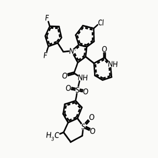 CC1CCS(=O)(=O)c2cc(S(=O)(=O)NC(=O)c3c(-c4ccc[nH]c4=O)c4cc(Cl)ccc4n3Cc3ccc(F)cc3F)ccc21